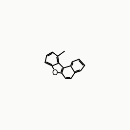 Cc1cccc2oc3ccc4ccccc4c3c12